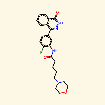 O=C(CCCCN1CCOCC1)Nc1cc(-c2n[nH]c(=O)c3ccccc23)ccc1F